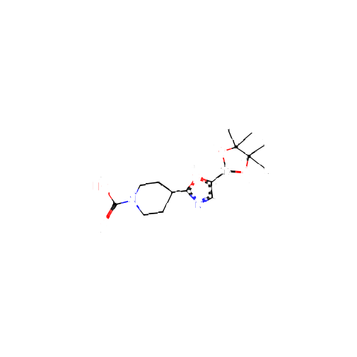 CC1(C)OB(c2cnc(C3CCN(C(=O)O)CC3)o2)OC1(C)C